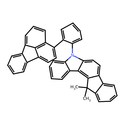 CC1(C)c2ccccc2-c2ccc3c(c21)c1ccccc1n3-c1ccccc1-c1ccc2c3c(cccc13)-c1ccccc1-2